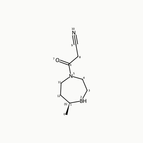 C[C@@H]1BCCN(C(=O)CC#N)CC1